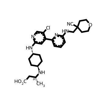 C[C@H](CC(=O)O)N[C@H]1CC[C@H](Nc2cc(-c3cccc(NCC4(C#N)CCOCC4)n3)c(Cl)cn2)CC1